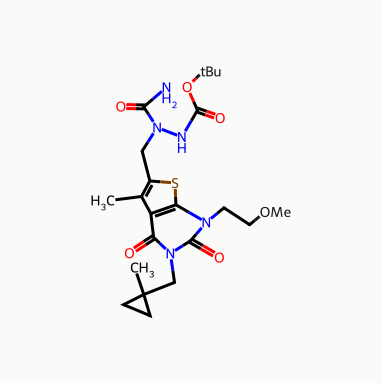 COCCn1c(=O)n(CC2(C)CC2)c(=O)c2c(C)c(CN(NC(=O)OC(C)(C)C)C(N)=O)sc21